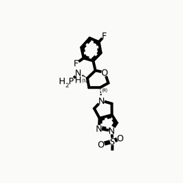 CS(=O)(=O)n1cc2c(n1)CN([C@H]1COC(c3cc(F)ccc3F)[C@@H](NP)C1)C2